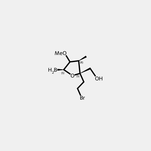 B[C@@H]1O[C@@](CO)(CCBr)[C@H](C)C1OC